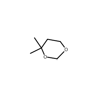 CC1(C)CCO[CH]O1